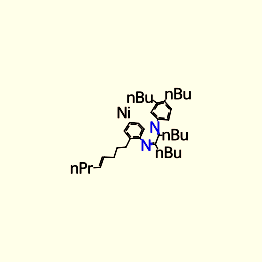 CCCC=CCCCc1ccccc1N=C(CCCC)C(CCCC)=Nc1ccc(CCCC)c(CCCC)c1.[Ni]